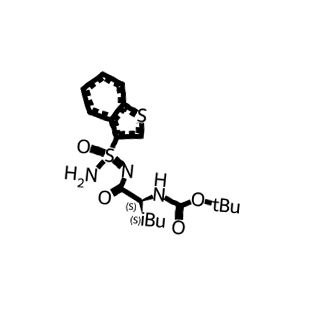 CC[C@H](C)[C@H](NC(=O)OC(C)(C)C)C(=O)N=S(N)(=O)c1csc2ccccc12